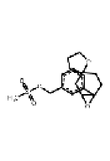 CS(=O)(=O)OCc1cccc(C23CCC4(CC2O3)OCCO4)c1